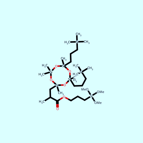 CO[Si](CCCOC(=O)C(C)C[Si]1(C)O[Si](C)(C)O[Si](C)(CCC[Si](C)(C)C)O[Si](C)(CCC[Si](C)(C)C)O1)(OC)OC